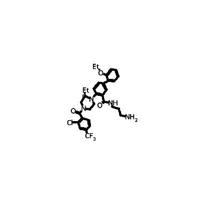 CCOc1ccccc1-c1ccc(N2CCN(C(=O)c3ccc(C(F)(F)F)cc3Cl)C[C@H]2CC)c(C(=O)NCCCN)c1